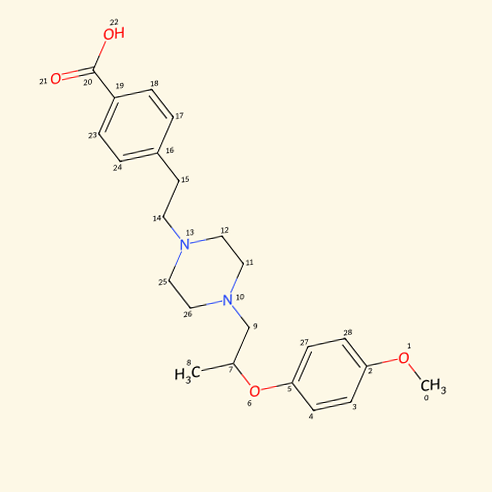 COc1ccc(OC(C)CN2CCN(CCc3ccc(C(=O)O)cc3)CC2)cc1